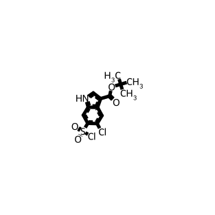 CC(C)(C)OC(=O)c1c[nH]c2cc(S(=O)(=O)Cl)c(Cl)cc12